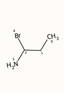 CCC(N)Br